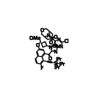 COCOc1cc(C(=O)c2nc3nc(Cl)nc(N4CC5COCC(C4)N5C(=O)OC(C)(C)C)c3n2C2CCC2)c2c(C#C[Si](C(C)C)(C(C)C)C(C)C)c(F)ccc2c1